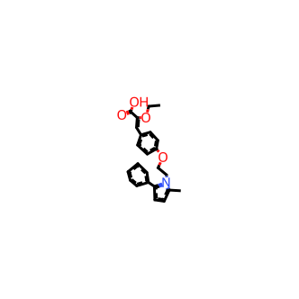 CCOC(=Cc1ccc(OCCn2c(C)ccc2-c2ccccc2)cc1)C(=O)O